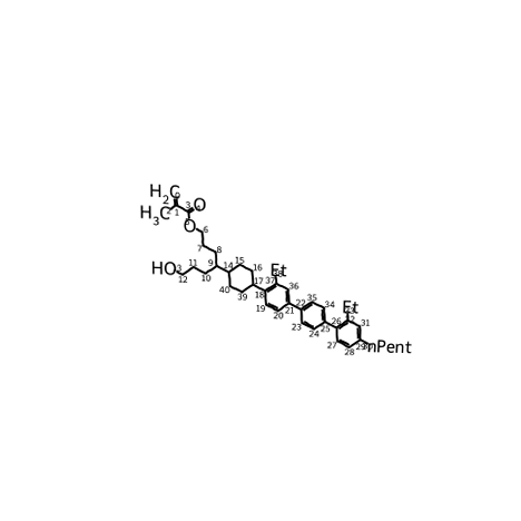 C=C(C)C(=O)OCCCC(CCCO)C1CCC(c2ccc(-c3ccc(-c4ccc(CCCCC)cc4CC)cc3)cc2CC)CC1